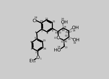 CCOc1ccc(Cc2cc([C@@H]3O[C@H](CO)[C@@H](O)[C@@H](O)[C@H]3O)ccc2Cl)cc1